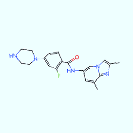 Cc1cn2cc(NC(=O)c3ccc(N4CCNCC4)cc3F)cc(C)c2n1